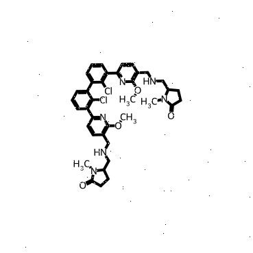 COc1nc(-c2cccc(-c3cccc(-c4ccc(CNCC5CCC(=O)N5C)c(OC)n4)c3Cl)c2Cl)ccc1CNCC1CCC(=O)N1C